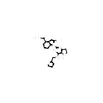 Cc1cc2c(C(N)=O)cccc2n1-c1nc2c(c(NCc3cccs3)n1)NCC2